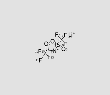 O=C([N-]S(=O)(=O)C(F)(F)F)C(F)(F)F.[Li+]